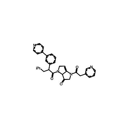 CC(C)CC(C(=O)N1CC=C2C1C(=O)CN2C(=O)Cc1cccnc1)c1cccc(-c2ccncc2)c1